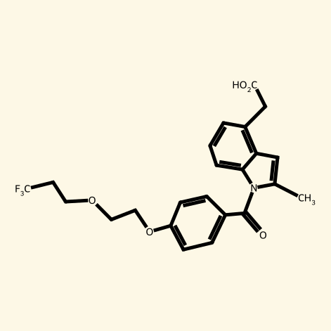 Cc1cc2c(CC(=O)O)cccc2n1C(=O)c1ccc(OCCOCCC(F)(F)F)cc1